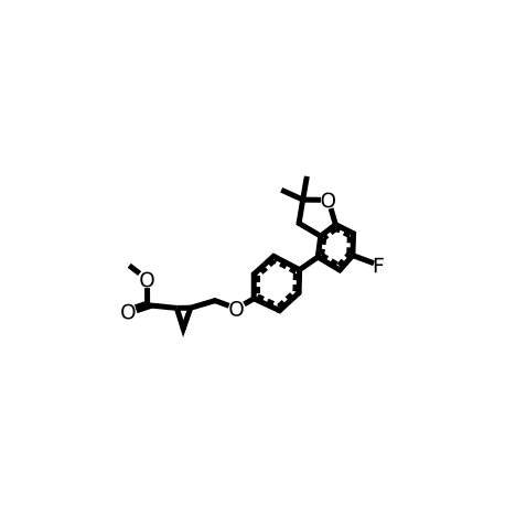 COC(=O)C1CC1COc1ccc(-c2cc(F)cc3c2CC(C)(C)O3)cc1